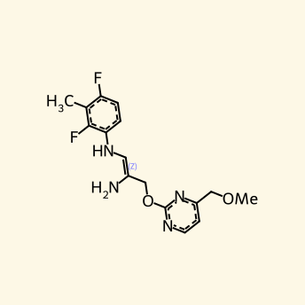 COCc1ccnc(OC/C(N)=C/Nc2ccc(F)c(C)c2F)n1